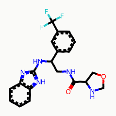 O=C(NCC(Nc1nc2ccccc2[nH]1)c1cccc(C(F)(F)F)c1)C1COCN1